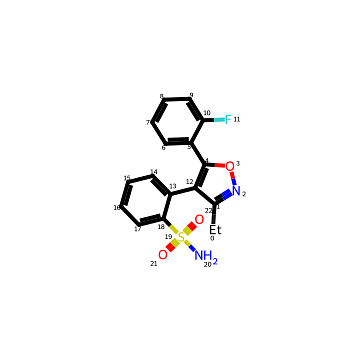 CCc1noc(-c2ccccc2F)c1-c1ccccc1S(N)(=O)=O